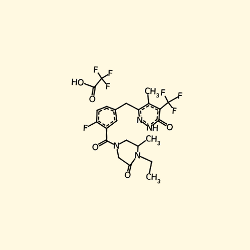 CCN1C(=O)CN(C(=O)c2cc(Cc3n[nH]c(=O)c(C(F)(F)F)c3C)ccc2F)CC1C.O=C(O)C(F)(F)F